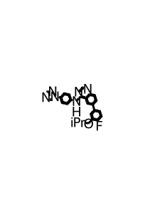 CC(C)Oc1cc(-c2ccc3ncnc(Nc4ccc(-n5cncn5)cc4)c3c2)ccc1F